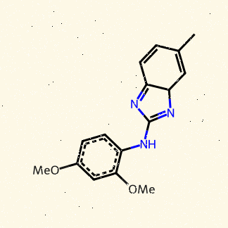 COc1ccc(NC2=NC3C=C(C)C=CC3=N2)c(OC)c1